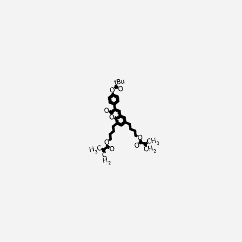 C=C(C)C(=O)OCCCCc1cc(CCCCOC(=O)C(=C)C)c2oc(=O)c(-c3ccc(OC(=O)C(C)(C)C)cc3)cc2c1